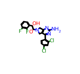 Nc1nc2c(c(-c3ccc(Cl)cc3Cl)n1)CN(C(=O)C(O)c1cccc(F)c1F)C2